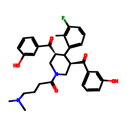 Cc1c(F)cccc1C1[C@@H](C(=O)c2cccc(O)c2)CN(C(=O)CCCN(C)C)C[C@@H]1C(=O)c1cccc(O)c1